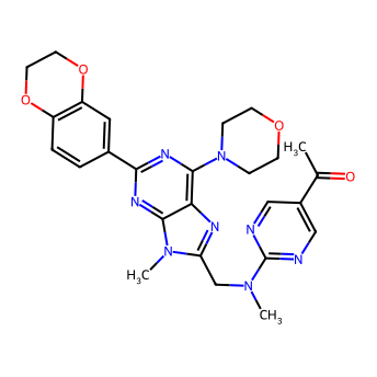 CC(=O)c1cnc(N(C)Cc2nc3c(N4CCOCC4)nc(-c4ccc5c(c4)OCCO5)nc3n2C)nc1